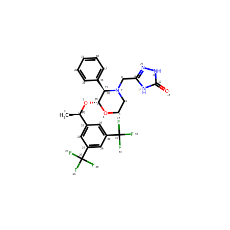 C[C@@H](O[C@H]1OCCN(Cc2n[nH]c(=O)[nH]2)[C@@H]1c1ccccc1)c1cc(C(F)(F)F)cc(C(F)(F)F)c1